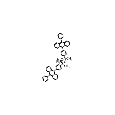 C[Si](C)(O[Si](C)(C)c1ccc(-c2c3ccccc3c(-c3ccccc3)c3ccccc23)cc1)c1ccc(-c2c3ccccc3c(-c3ccccc3)c3ccccc23)cc1